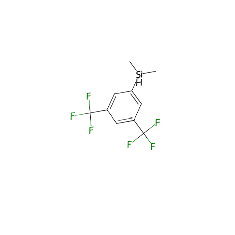 C[SiH](C)c1cc(C(F)(F)F)cc(C(F)(F)F)c1